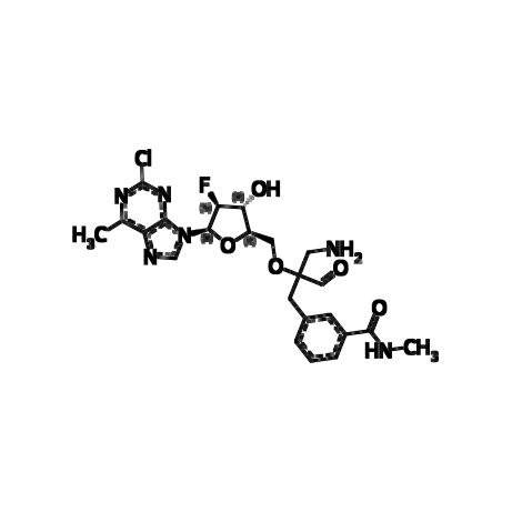 CNC(=O)c1cccc(CC(C=O)(CN)OC[C@H]2O[C@@H](n3cnc4c(C)nc(Cl)nc43)[C@@H](F)[C@@H]2O)c1